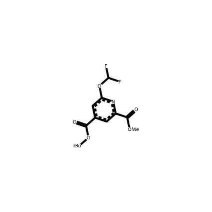 COC(=O)c1cc(C(=O)OC(C)(C)C)cc(OC(F)F)n1